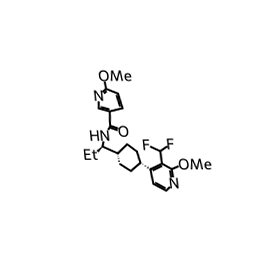 CC[C@@H](NC(=O)c1ccc(OC)nc1)[C@H]1CC[C@@H](c2ccnc(OC)c2C(F)F)CC1